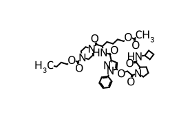 CCCCOC(=O)N1CCN(C(=O)C(CCCCOC(C)=O)NC(=O)c2cc(OCC(=O)N3CCCC3C(=O)NC3CCC3)n(-c3ccccc3)n2)CC1